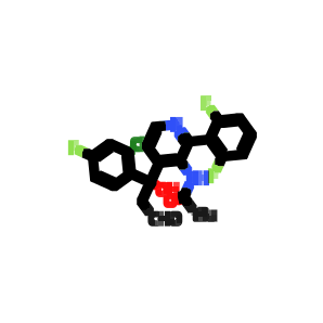 CC(C)(C)C(=O)Nc1c(C(O)(CC=O)c2ccc(F)cc2Cl)ccnc1-c1c(F)cccc1F